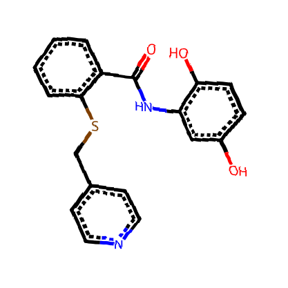 O=C(Nc1cc(O)ccc1O)c1ccccc1SCc1ccncc1